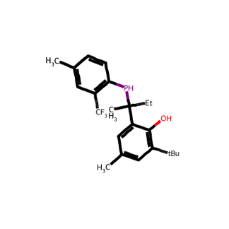 CCC(C)(Pc1ccc(C)cc1C(F)(F)F)c1cc(C)cc(C(C)(C)C)c1O